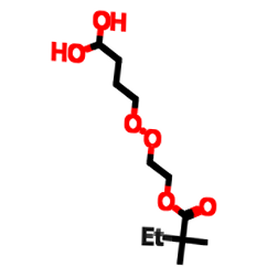 CCC(C)(C)C(=O)OCCOOCCCC(O)O